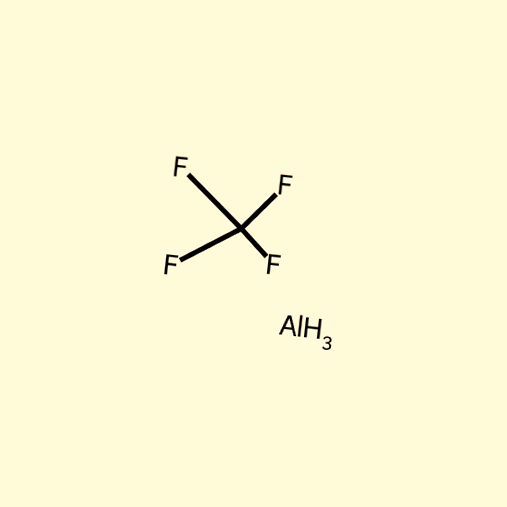 FC(F)(F)F.[AlH3]